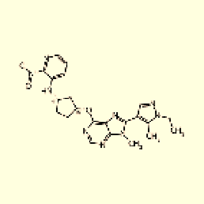 CCn1ncc(-c2nc3c(O[C@@H]4CC[C@H](Nc5cccnc5[N+](=O)[O-])C4)ncnc3n2C)c1C